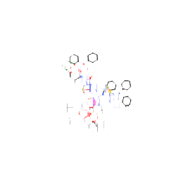 CC(C)(C)OC(=O)C(C)(C)O/N=C(\C(=O)NC1C(=O)N2C(C(=O)OC(c3ccccc3)c3ccccc3)=C(C=CCCl)CS[C@@H]12)c1csc(NC(c2ccccc2)(c2ccccc2)c2ccccc2)n1